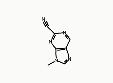 Cn1cnc2cnc(C#N)nc21